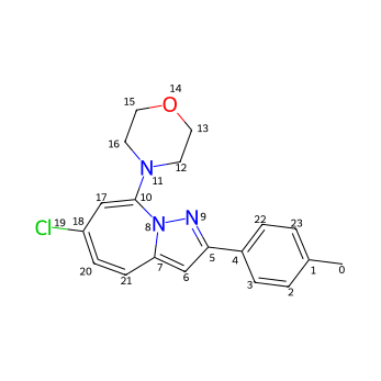 Cc1ccc(-c2cc3n(n2)C(N2CCOCC2)=CC(Cl)=C=C3)cc1